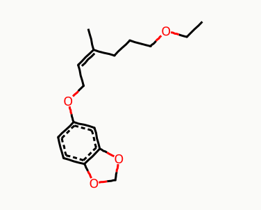 CCOCCCC(C)=CCOc1ccc2c(c1)OCO2